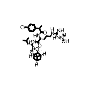 CC(C)C[C@H](NC(=O)[C@H](CCCNC(=N)N[N+](=O)O)NC(=O)C(C)c1ccc(Cl)cc1)B1O[C@@H]2C[C@@H]3C[C@@H](C3(C)C)[C@]2(C)O1